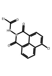 CCC(=O)NN1C(=O)c2cccc3c(Cl)ccc(c23)C1=O